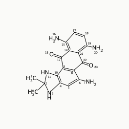 CC1(C)Nc2cc(N)c3c(c2N1)C(=O)c1c(N)ccc(N)c1C3=O